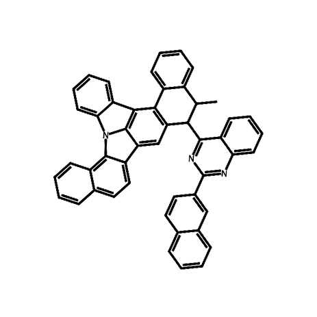 CC1c2ccccc2-c2c(cc3c4ccc5ccccc5c4n4c5ccccc5c2c34)C1c1nc(-c2ccc3ccccc3c2)nc2ccccc12